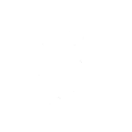 Cl.O=CNCC(CCCN1CCC(O)(c2cc(Cl)cc(Cl)c2)CC1)(c1ccccc1)c1ccccc1